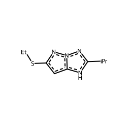 CCSc1cc2[nH]c(C(C)C)nn2n1